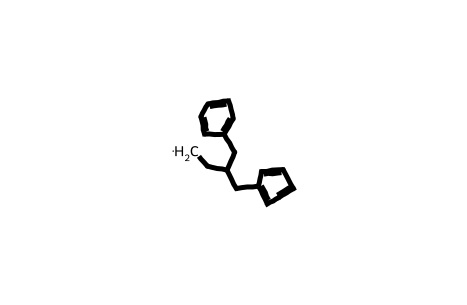 [CH2]CC(Cc1ccccc1)Cc1ccccc1